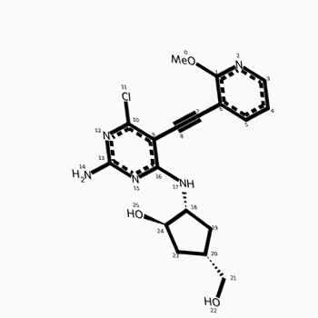 COc1ncccc1C#Cc1c(Cl)nc(N)nc1N[C@@H]1C[C@H](CO)C[C@H]1O